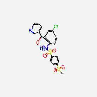 CS(=O)(=O)c1ccc(S(=O)(=O)Nc2ccc(Cl)cc2C(=O)c2cccnc2)cc1